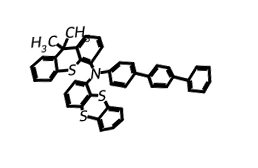 CC1(C)c2ccccc2Sc2c(N(c3ccc(-c4ccc(-c5ccccc5)cc4)cc3)c3cccc4c3Sc3ccccc3S4)cccc21